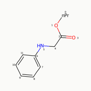 CCCOC(=O)CNc1ccccc1